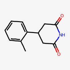 Cc1ccccc1C1CC(=O)NC(=O)C1